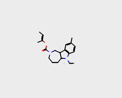 C/C=C(\C)OC(=O)N1CCC[C@H]2[C@@H](C1)c1cc(C)ccc1N2CC(=O)OCC